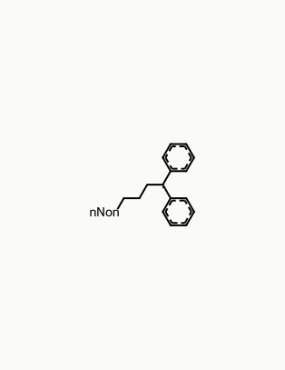 CCCCCCCCCCCC[C](c1ccccc1)c1ccccc1